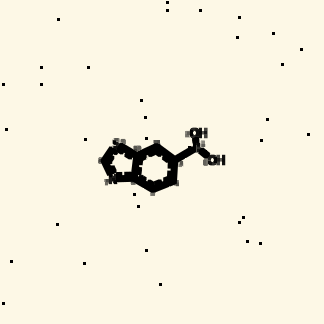 OB(O)c1ccc2ncsc2c1